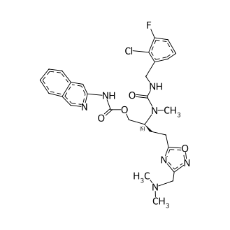 CN(C)Cc1noc(CC[C@@H](COC(=O)Nc2cc3ccccc3cn2)N(C)C(=O)NCc2cccc(F)c2Cl)n1